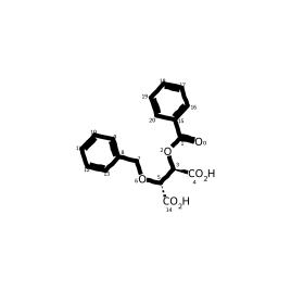 O=C(O[C@@H](C(=O)O)[C@@H](OCc1ccccc1)C(=O)O)c1ccccc1